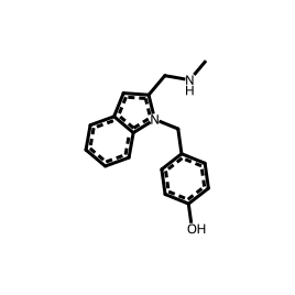 CNCc1cc2ccccc2n1Cc1ccc(O)cc1